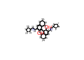 Oc1c(/C=C/C2CCCC2)cc2c(c1-c1c(O)c(/C=C/C3CCCC3)cc3c1CCCC3)CCCC2